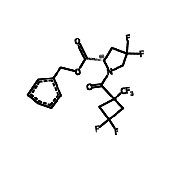 O=C(OCc1ccccc1)[C@@H]1CC(F)(F)CN1C(=O)C1(C(F)(F)F)CC(F)(F)C1